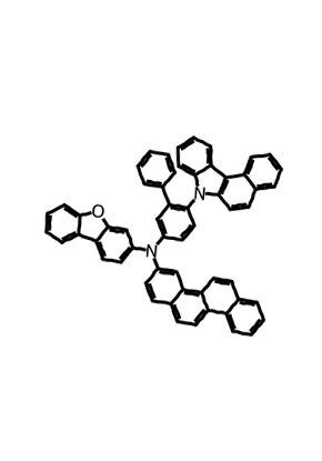 c1ccc(-c2cc(N(c3ccc4c(c3)oc3ccccc34)c3ccc4ccc5c6ccccc6ccc5c4c3)ccc2-n2c3ccccc3c3c4ccccc4ccc32)cc1